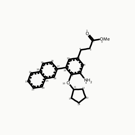 COC(=O)CCc1cc(N)c(OC2CCCC2)c(-c2ccc3ccccc3c2)c1